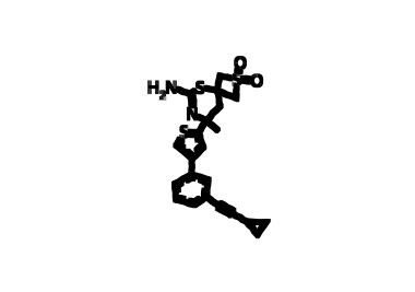 CC1(c2cc(-c3cccc(C#CC4CC4)c3)cs2)CC2(CS(=O)(=O)C2)SC(N)=N1